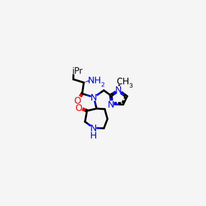 CC(C)C[C@H](N)C(=O)N(Cc1nccn1C)C1CCCNCC1=O